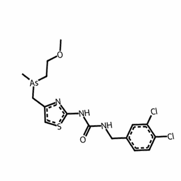 COCC[As](C)Cc1csc(NC(=O)NCc2ccc(Cl)c(Cl)c2)n1